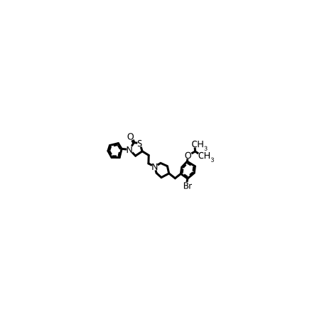 CC(C)Oc1ccc(Br)c(CC2CCN(CCC3CN(c4ccccc4)C(=O)S3)CC2)c1